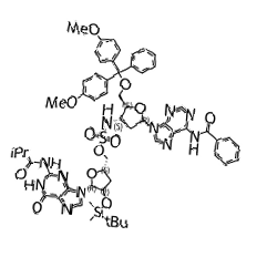 COc1ccc(C(OC[C@H]2O[C@@H](n3cnc4c(NC(=O)c5ccccc5)ncnc43)C[C@@H]2NS(=O)(=O)OC[C@@H]2C[C@@H](O[Si](C)(C)C(C)(C)C)[C@H](n3cnc4c(=O)[nH]c(NC(=O)C(C)C)nc43)O2)(c2ccccc2)c2ccc(OC)cc2)cc1